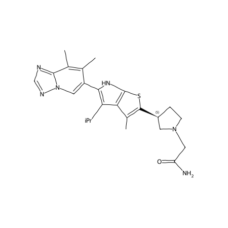 Cc1c(-c2[nH]c3sc([C@H]4CCN(CC(N)=O)C4)c(C)c3c2C(C)C)cn2ncnc2c1C